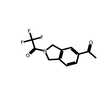 CC(=O)c1ccc2c(c1)CN(C(=O)C(F)(F)F)C2